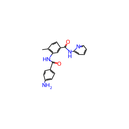 Cc1ccc(C(=O)Nc2ccccn2)cc1NC(=O)c1ccc(N)cc1